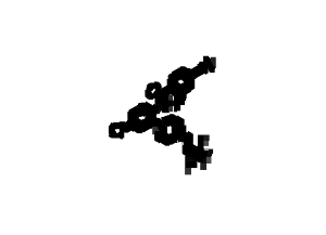 N#Cc1ccc(C(=O)Nc2ccc(Cl)cc2N2CCN(CCC(F)(F)F)CC2)c(F)c1